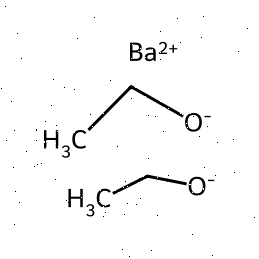 CC[O-].CC[O-].[Ba+2]